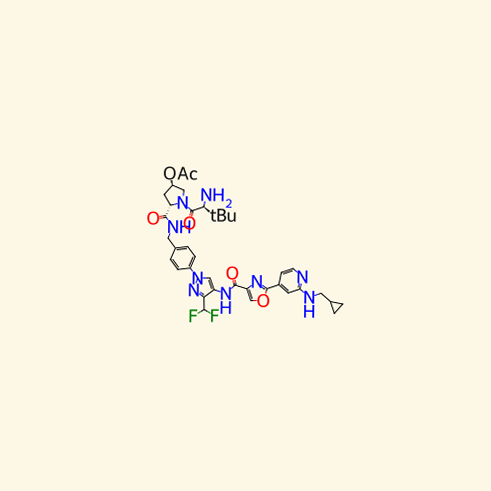 CC(=O)O[C@@H]1C[C@@H](C(=O)NCc2ccc(-n3cc(NC(=O)c4coc(-c5ccnc(NCC6CC6)c5)n4)c(C(F)F)n3)cc2)N(C(=O)[C@@H](N)C(C)(C)C)C1